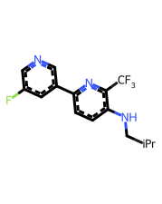 CC(C)CNc1ccc(-c2cncc(F)c2)nc1C(F)(F)F